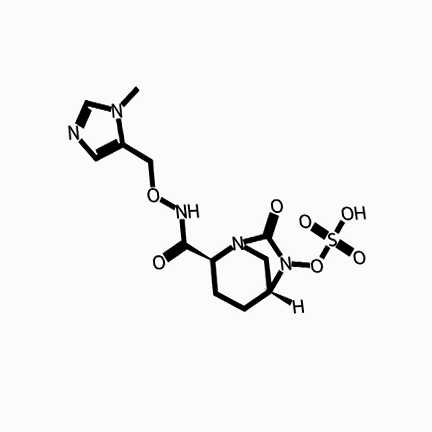 Cn1cncc1CONC(=O)[C@@H]1CC[C@@H]2CN1C(=O)N2OS(=O)(=O)O